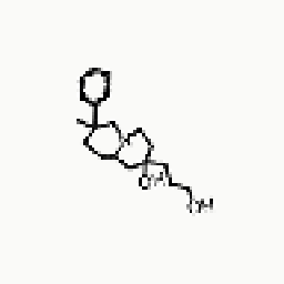 CC1(c2ccccc2)CCC2CC(O)(CCCO)CCN2C1